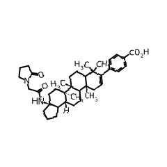 CC1(C)C(c2ccc(C(=O)O)cc2)=CC[C@@]2(C)C1CC[C@]1(C)C2CC[C@@H]2C3CCC[C@]3(NC(=O)CN3CCCC3=O)CC[C@]21C